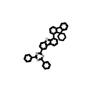 c1ccc(-c2nc(-c3ccccc3)nc(-c3ccc4oc5c(-c6cccc7c6C6(CCCCC6)c6ccccc6-7)cccc5c4c3)n2)cc1